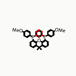 COc1ccc(P(c2ccccc2)c2cccc3c2Oc2c(P(c4ccccc4)c4ccc(OC)cc4)cccc2C3(C)C)cc1